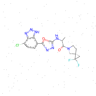 CC(Nc1nnc(-c2ccc(Cl)c3nn[nH]c23)o1)C(=O)N1CCC2(C1)CC2(F)F